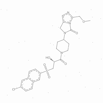 COCc1ncc2n1C(=O)N(C1CCN(C(=O)[C@H](O)CS(=O)(=O)c3ccc4cc(Cl)ccc4c3)CC1)C2